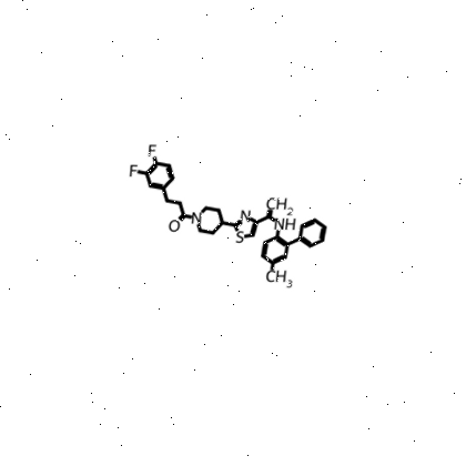 C=C(Nc1ccc(C)cc1-c1ccccc1)c1csc(C2CCN(C(=O)CCc3ccc(F)c(F)c3)CC2)n1